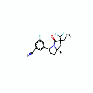 CCC1(C(F)F)C[C@H]2CC[C@@H](c3cc(F)cc(C#N)c3)N2C1=O